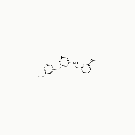 COc1cccc(CNc2cncc(Cc3cccc(OC)c3)c2)c1